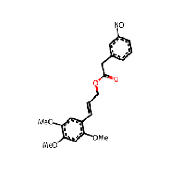 COc1cc(OC)c(OC)cc1/C=C/COC(=O)Cc1cccc(N=O)c1